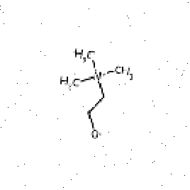 C[N+](C)(C)CC[O]